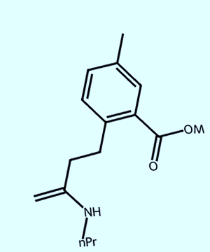 C=C(CCc1ccc(C)cc1C(=O)OC)NCCC